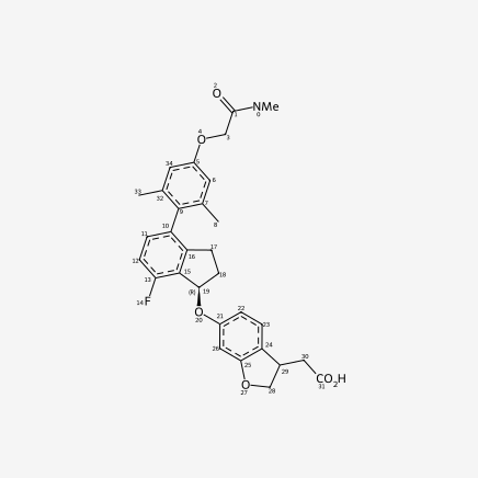 CNC(=O)COc1cc(C)c(-c2ccc(F)c3c2CC[C@H]3Oc2ccc3c(c2)OCC3CC(=O)O)c(C)c1